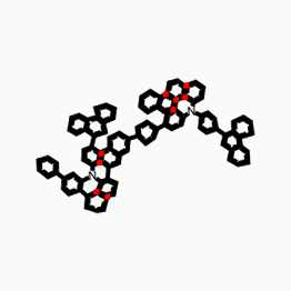 c1ccc(-c2ccc(-c3ccccc3)c(N(c3ccc(-c4cc5ccccc5c5ccccc45)cc3)c3ccccc3-c3ccc4ccc(-c5ccc(-c6ccc(N(c7ccc(-c8cc9ccccc9c9ccccc89)cc7)c7ccccc7-c7ccc8ccccc8c7)c(-c7ccccc7)c6)cc5)cc4c3)c2)cc1